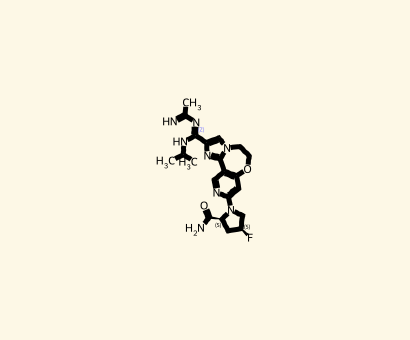 CC(=N)/N=C(\NC(C)C)c1cn2c(n1)-c1cnc(N3C[C@@H](F)C[C@H]3C(N)=O)cc1OCC2